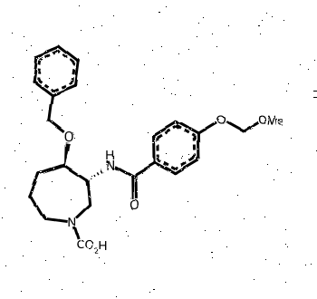 COCOc1ccc(C(=O)N[C@@H]2CN(C(=O)O)CCC[C@H]2OCc2ccccc2)cc1